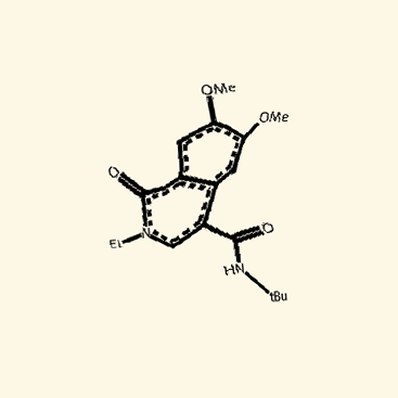 CCn1cc(C(=O)NC(C)(C)C)c2cc(OC)c(OC)cc2c1=O